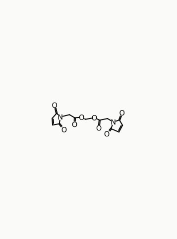 O=C(CN1C(=O)C=CC1=O)OCOC(=O)CN1C(=O)C=CC1=O